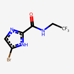 O=C(NCC(F)(F)F)c1ncc(Br)[nH]1